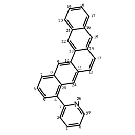 c1ccc(-c2cccc3cc4c(ccc5cc6ccccc6cc54)cc23)nc1